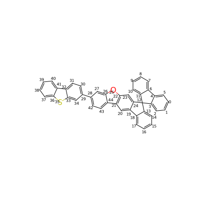 c1ccc2c(c1)-c1ccccc1C21c2ccccc2-c2cc3c(cc21)oc1cc(-c2ccc4c(c2)sc2ccccc24)ccc13